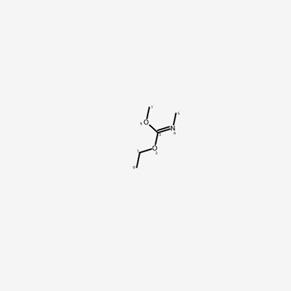 CCOC(=NC)OC